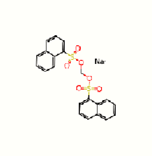 O=S(=O)(OCOS(=O)(=O)c1cccc2ccccc12)c1cccc2ccccc12.[Na]